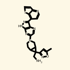 Cc1cc(C2(CN)C3CCN(c4cnc5c(-c6ccnc7ccsc67)n[nH]c5n4)CC32)no1